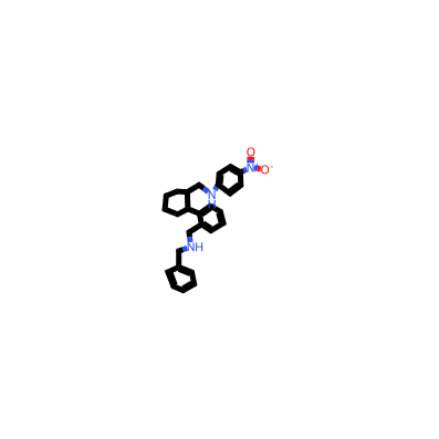 O=[N+]([O-])c1ccc(NCC2CCCCC2c2ccccc2CNCc2ccccc2)cc1